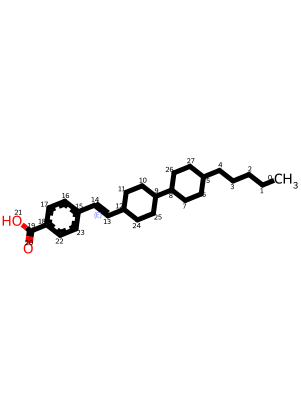 CCCCCC1CCC(C2CCC(/C=C/c3ccc(C(=O)O)cc3)CC2)CC1